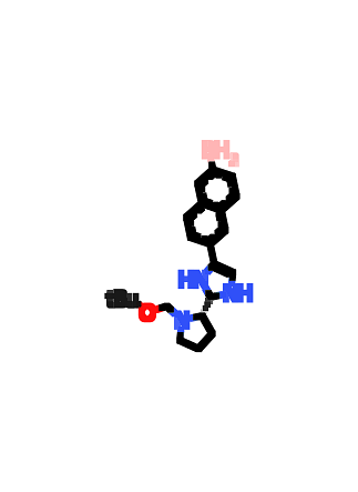 Bc1ccc2cc(C3=CNC([C@@H]4CCCN4COC(C)(C)C)N3)ccc2c1